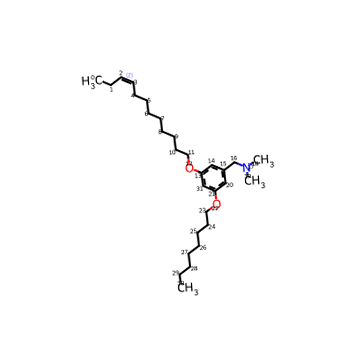 CC/C=C\CCCCCCCCOc1cc(CN(C)C)cc(OCCCCCCCC)c1